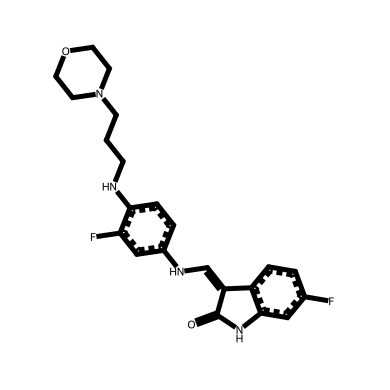 O=C1Nc2cc(F)ccc2C1=CNc1ccc(NCCCN2CCOCC2)c(F)c1